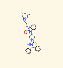 CC1CC(C)CN(CCCn2c(=O)n(C3CCN(C(=S)NC(c4ccccc4)c4ccccc4)CC3)c3ccccc32)C1